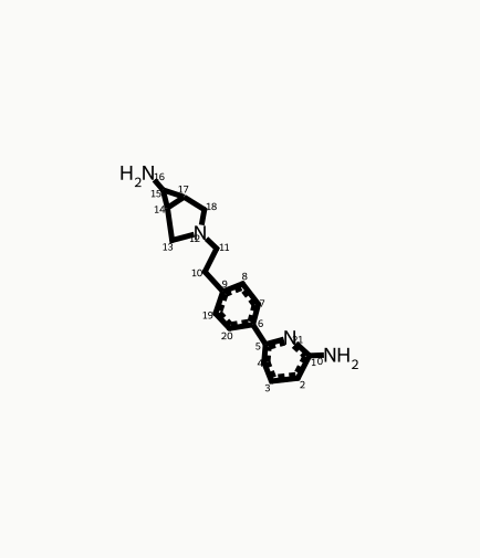 Nc1cccc(-c2ccc(CCN3CC4C(N)C4C3)cc2)n1